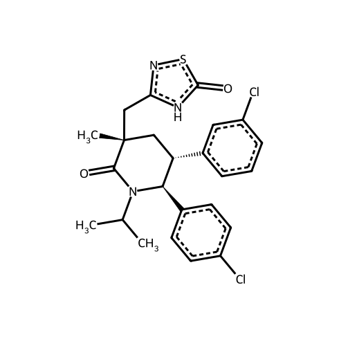 CC(C)N1C(=O)[C@](C)(Cc2nsc(=O)[nH]2)C[C@H](c2cccc(Cl)c2)[C@H]1c1ccc(Cl)cc1